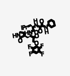 CC(C)C[C@H](NC(=O)C(=O)NC1CCCCC1)C(=O)N[C@@H](C[C@@H]1CCNC1=O)C(=O)COc1c(F)c(F)cc(F)c1F